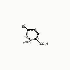 CCc1ccc(C(=O)O)cc1.[AlH3]